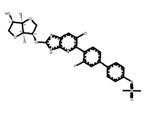 CS(C)(=O)=Nc1ccc(-c2ccc(-c3nc4[nH]c(O[C@@H]5CO[C@H]6[C@@H]5OC[C@H]6O)nc4cc3Cl)c(F)c2)cc1